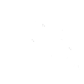 C=C1CSC(c2ncc3c(n2)C=CC3)C(=O)N1